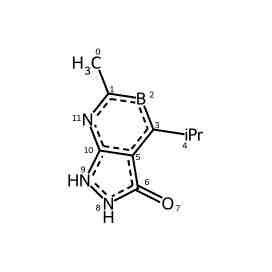 Cc1bc(C(C)C)c2c(=O)[nH][nH]c2n1